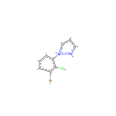 Clc1c(Br)cccc1-n1cccn1